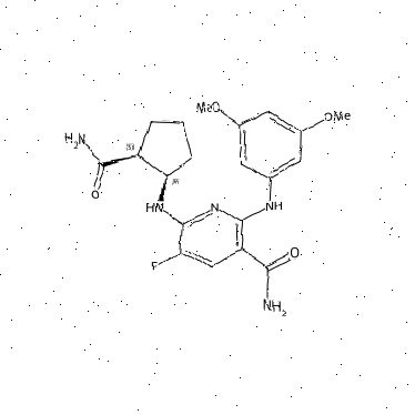 COc1cc(Nc2nc(N[C@@H]3CCC[C@@H]3C(N)=O)c(F)cc2C(N)=O)cc(OC)c1